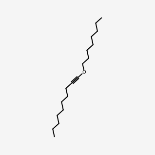 CCCCCCCCC#COCCCCCCCC